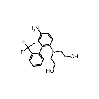 Nc1ccc(N(CCO)CCO)c(-c2ccccc2C(F)(F)F)c1